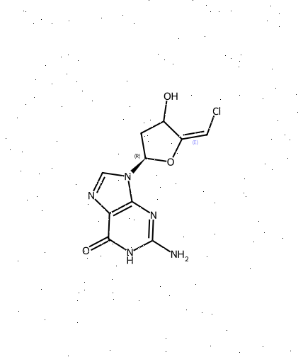 Nc1nc2c(ncn2[C@H]2CC(O)/C(=C\Cl)O2)c(=O)[nH]1